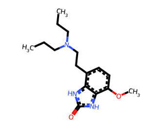 CCCN(CCC)CCc1ccc(OC)c2[nH]c(=O)[nH]c12